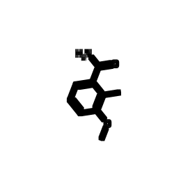 COc1cccc(C(N)=O)c1C